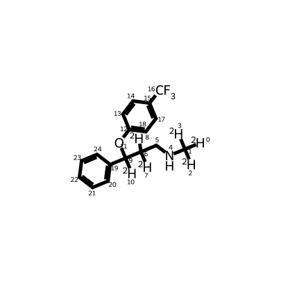 [2H]C([2H])([2H])NCC([2H])([2H])C([2H])(Oc1ccc(C(F)(F)F)cc1)c1ccccc1